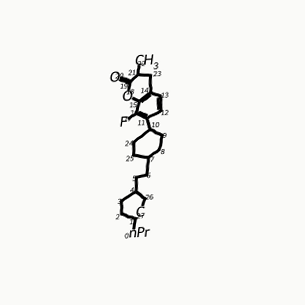 CCCC1CCC(CCC2CCC(c3ccc4c(c3F)OC(=O)C(C)C4)CC2)CC1